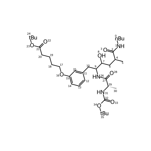 CCCCNC(=O)C(C)CC(O)C(Cc1cccc(OCCCCC(=O)OC(C)(C)C)c1)NC(=O)[C@H](C)NC(=O)OC(C)(C)C